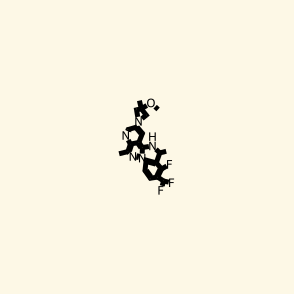 COC1(C)CN(c2cnc3c(C)nnc(NC(C)c4cccc(C(F)F)c4F)c3c2)C1